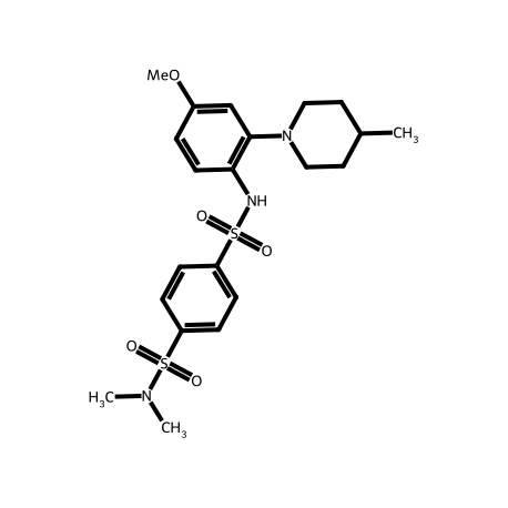 COc1ccc(NS(=O)(=O)c2ccc(S(=O)(=O)N(C)C)cc2)c(N2CCC(C)CC2)c1